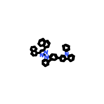 C1=Cc2cccc(-c3cc(-c4cccc5ccccc45)nc(-n4c5ccccc5c5cc(-c6ccc7c8ccccc8n(-c8ccccc8)c7c6)ccc54)n3)c2CC1